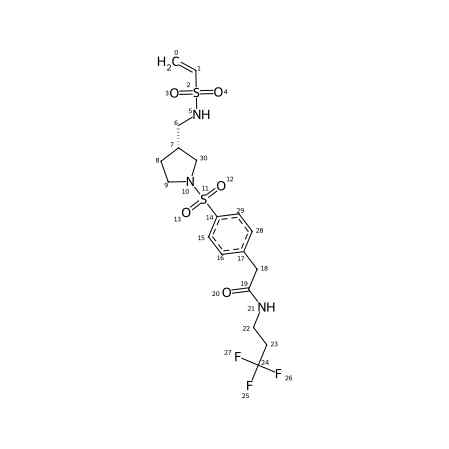 C=CS(=O)(=O)NC[C@H]1CCN(S(=O)(=O)c2ccc(CC(=O)NCCC(F)(F)F)cc2)C1